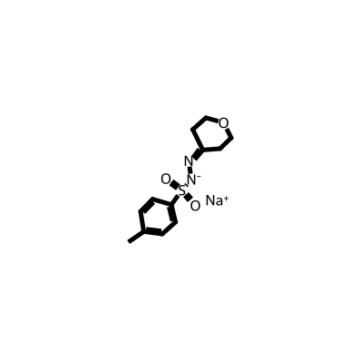 Cc1ccc(S(=O)(=O)[N-]N=C2CCOCC2)cc1.[Na+]